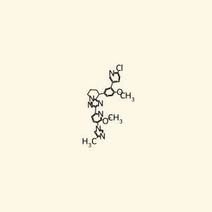 COc1ccc(C2CCCn3nc(-c4ccc(-n5cnc(C)c5)c(OC)n4)nc32)cc1-c1ccc(Cl)nc1